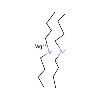 CCCC[N-]CCCC.CCCC[N-]CCCC.[Mg+2]